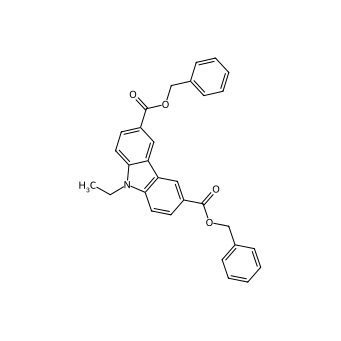 CCn1c2ccc(C(=O)OCc3ccccc3)cc2c2cc(C(=O)OCc3ccccc3)ccc21